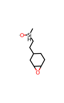 C[SiH]([O])CCC1CCC2OC2C1